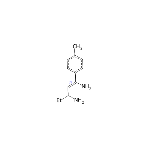 CCC(N)/C=C(\N)c1ccc(C)cc1